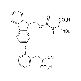 CCCC[C@H](NC(=O)OCC1c2ccccc2-c2ccccc21)C(=O)O.N#CC(Cc1ccccc1Cl)C(=O)O